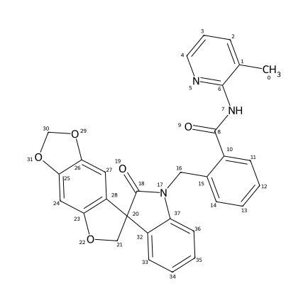 Cc1cccnc1NC(=O)c1ccccc1CN1C(=O)C2(COc3cc4c(cc32)OCO4)c2ccccc21